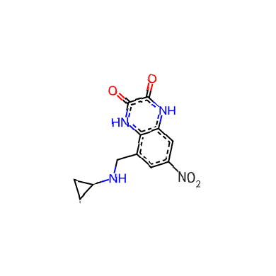 O=c1[nH]c2cc([N+](=O)[O-])cc(CNC3[CH]C3)c2[nH]c1=O